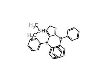 C[SiH](C)C1=C(B(c2ccccc2)c2ccccc2)C(B(c2ccccc2)c2ccccc2)=CC1